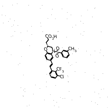 Cc1cccc(S(=O)(=O)N2C[C@H](CCC(=O)O)Oc3ccc(/C=C/c4cccc(Cl)c4C(F)(F)F)cc32)c1